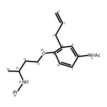 C=CCc1cc(NC(C)=O)ccc1OCCC(C)NC(C)C